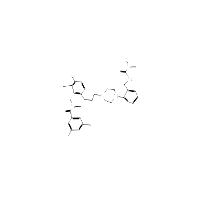 Cc1cc(C)cc(C(=O)N(C)C[C@@H](CCN2CCN(c3ccccc3CNC(=O)N(C)C)CC2)c2ccc(Cl)c(Cl)c2)c1